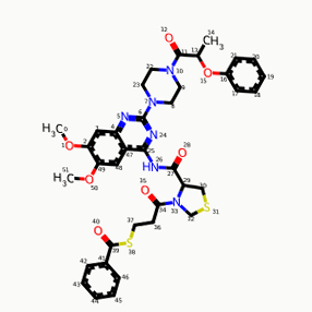 COc1cc2nc(N3CCN(C(=O)C(C)Oc4ccccc4)CC3)nc(NC(=O)C3CSCN3C(=O)CCSC(=O)c3ccccc3)c2cc1OC